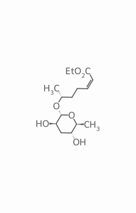 CCOC(=O)/C=C\CC[C@@H](C)O[C@@H]1O[C@@H](C)[C@H](O)C[C@H]1O